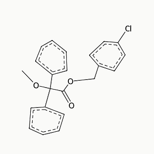 COC(C(=O)OCc1ccc(Cl)cc1)(c1ccccc1)c1ccccc1